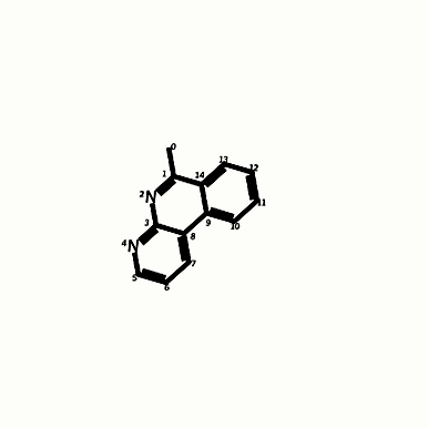 Cc1nc2ncccc2c2ccccc12